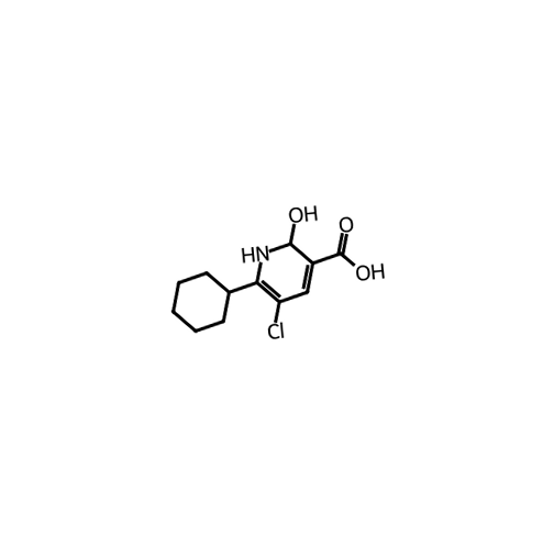 O=C(O)C1=CC(Cl)=C(C2CCCCC2)NC1O